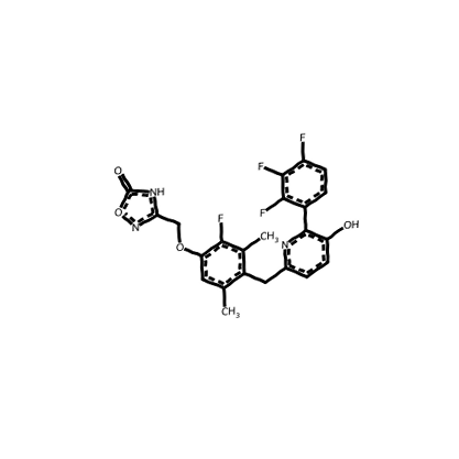 Cc1cc(OCc2noc(=O)[nH]2)c(F)c(C)c1Cc1ccc(O)c(-c2ccc(F)c(F)c2F)n1